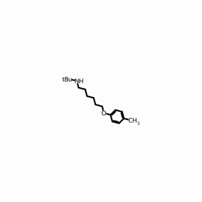 Cc1ccc(OCCCCCCNC(C)(C)C)cc1